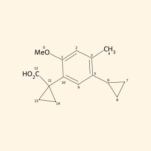 COc1cc(C)c(C2CC2)cc1C1(C(=O)O)CC1